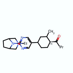 CCN1CC2CCC(C1)N2c1ncc(C2CC[C@H](C(=O)C(C)C)C(C)C2)cn1